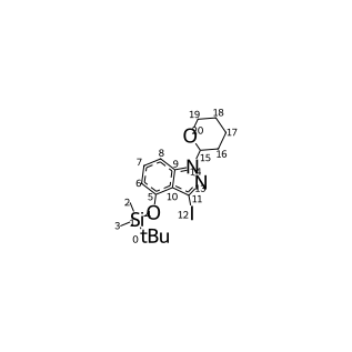 CC(C)(C)[Si](C)(C)Oc1cccc2c1c(I)nn2C1CCCCO1